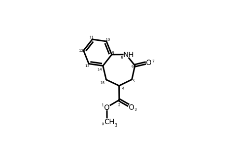 COC(=O)C1CC(=O)Nc2ccccc2C1